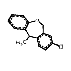 CC1c2ccc(Cl)cc2COc2ccccc21